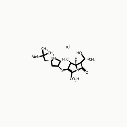 CNC(C)(C)C[C@@H]1C[C@H](SC2=C(C(=O)O)N3C(=O)[C@H]([C@@H](C)O)[C@H]3[C@H]2C)CN1.Cl